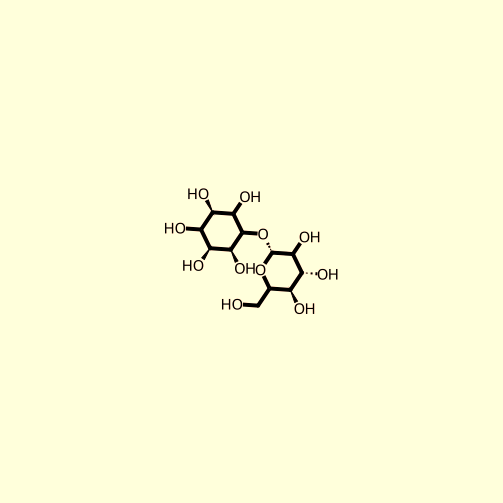 OCC1O[C@H](OC2C(O)[C@H](O)C(O)[C@H](O)[C@@H]2O)C(O)[C@H](O)[C@H]1O